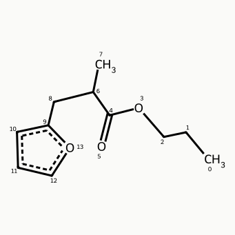 CCCOC(=O)C(C)Cc1ccco1